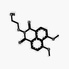 COc1ccc2c3c(ccc(OC)c13)C(=O)N(OCCO)C2=O